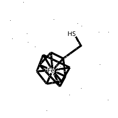 SC[C]12[CH]3[CH]4[CH]5[CH]1[Fe]45321678[CH]2[CH]1[CH]6[CH]7[CH]28